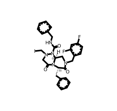 O=C1[C@H](Cc2ccccc2)N2C(=O)CN(CI)N(C(=O)NCc3ccccc3)[C@H]2CN1Cc1ccc(F)cc1F